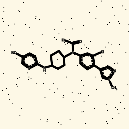 CCC(=O)N(c1ccc(-c2cnn(C)c2)c(Cl)c1)C1CCC(Nc2ccc(C#N)cn2)CC1